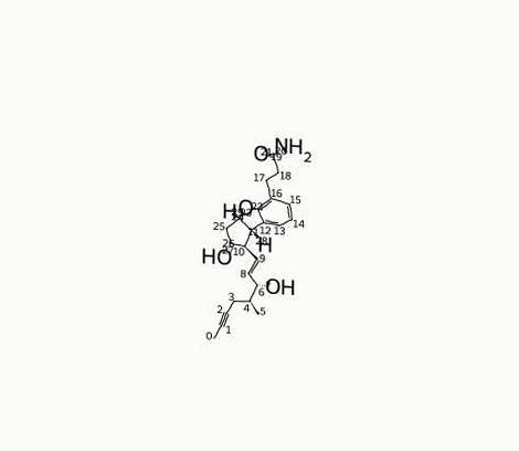 CC#CC[C@H](C)[C@@H](O)/C=C/[C@@H]1[C@H]2c3cccc(CCC(N)=O)c3O[C@H]2C[C@H]1O